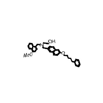 COc1ccc(CN(CCO)Cc2ccc3cc(OCCCCCc4ccccc4)ccc3c2)c2ccccc12